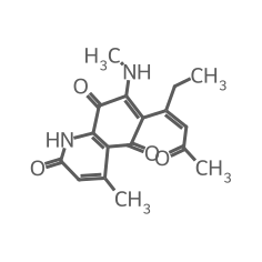 CC/C(=C/C(C)=O)C1=C(NC)C(=O)c2[nH]c(=O)cc(C)c2C1=O